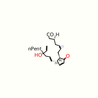 C=CC(O)(CC=C[C@H]1C=CC(=O)[C@@H]1C/C=C\CCCC(=O)O)CCCCC